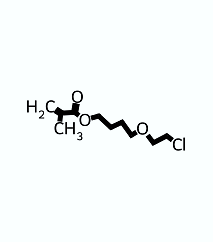 C=C(C)C(=O)OCCCCOCCCl